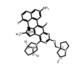 C#Cc1c(F)ccc2cc(N)cc(-c3c(F)c4nc(OC[C@@]56CCCN5C[C@H](F)C6)nc(N5C[C@H]6CC[C@@H](C5)N6)c4c4cc(C)oc34)c12